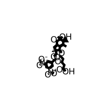 CC1=C2C(=C[C@@](C)(COC(=O)c3cc([N+](=O)[O-])cc([N+](=O)[O-])c3)C2OC(=O)CCCC(=O)O)C(=O)C(C)(O)C12CC2